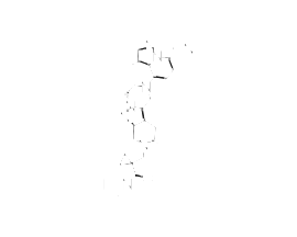 C[C@@H]1CN(c2ccc(C#N)n3ncc(F)c23)Cc2c3c(nn21)CN(CC1(C(N)=O)CC1)[C@@H](C)C3